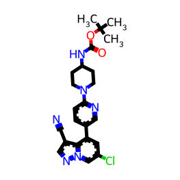 CC(C)(C)OC(=O)NC1CCN(c2ccc(-c3cc(Cl)cn4ncc(C#N)c34)cn2)CC1